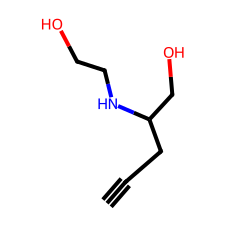 C#CCC(CO)NCCO